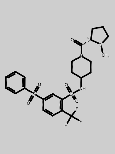 CN1CCC[C@H]1C(=O)N1CCC(NS(=O)(=O)c2cc(S(=O)(=O)c3ccccc3)ccc2C(F)(F)F)CC1